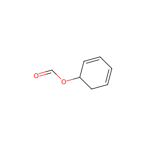 O=COC1C=CC=CC1